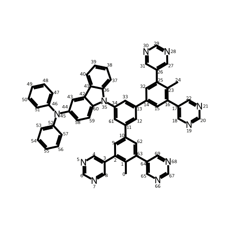 Cc1c(-c2cncnc2)cc(-c2cc(-c3cc(-c4cncnc4)c(C)c(-c4cncnc4)c3)cc(-n3c4ccccc4c4cc(N(c5ccccc5)c5ccccc5)ccc43)c2)cc1-c1cncnc1